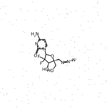 [N-]=[N+]=NC[C@]1(CO)OC(n2ccc(N)nc2=O)C(F)(F)[C@@H]1O